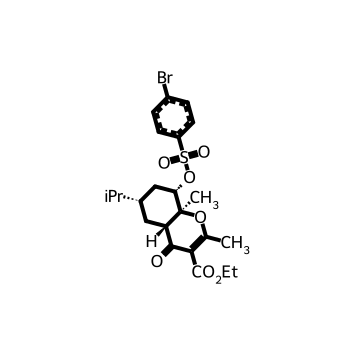 CCOC(=O)C1=C(C)O[C@]2(C)[C@@H](OS(=O)(=O)c3ccc(Br)cc3)C[C@@H](C(C)C)C[C@H]2C1=O